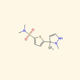 CN1NC=CC1(c1ccc(S(=O)(=O)N(C)C)s1)C(F)(F)F